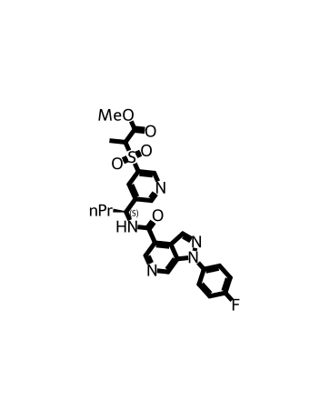 CCC[C@H](NC(=O)c1cncc2c1cnn2-c1ccc(F)cc1)c1cncc(S(=O)(=O)C(C)C(=O)OC)c1